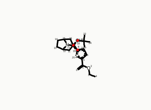 C=C(OCC)c1ccc(C2(O)CC3CCC(C2)N3C(=O)OC(C)(C)C)s1